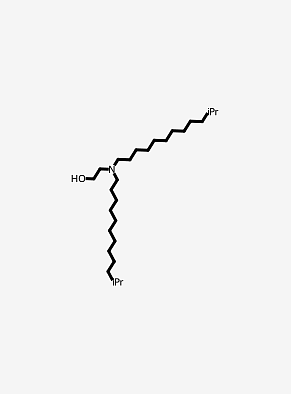 CC(C)CCCCCCCCCCN(CCO)CCCCCCCCCCC(C)C